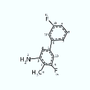 Cc1c(N)cc(-c2cccc(F)c2)cc1F